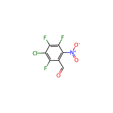 O=Cc1c(F)c(Cl)c(F)c(F)c1[N+](=O)[O-]